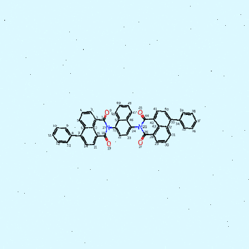 O=C1c2cccc3c(-c4ccccc4)ccc(c23)C(=O)N1c1ccc(N2C(=O)c3cccc4c(-c5ccccc5)ccc(c34)C2=O)c2ccccc12